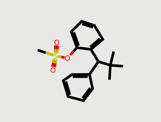 CC(C)(C)C(c1ccccc1)c1ccccc1OS(C)(=O)=O